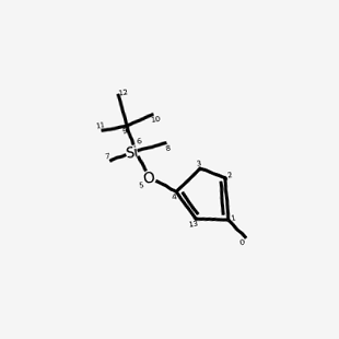 CC1=CCC(O[Si](C)(C)C(C)(C)C)=C1